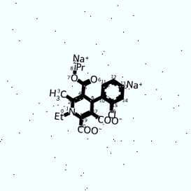 CCN1C(C)=C(C(=O)OC(C)C)C(c2ccccc2Cl)C(C(=O)[O-])=C1C(=O)[O-].[Na+].[Na+]